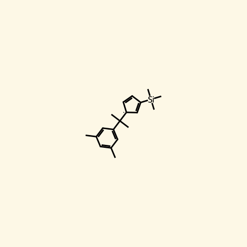 Cc1cc(C)cc(C(C)(C)[C]2C=CC([Si](C)(C)C)=C2)c1